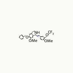 COc1ccc(/C=C/C2NCCc3cc(OCc4ccccc4)c(OC)cc32)cc1COCC(F)(F)F